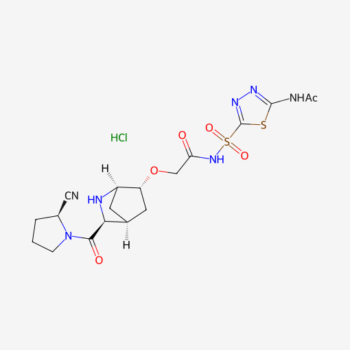 CC(=O)Nc1nnc(S(=O)(=O)NC(=O)CO[C@@H]2C[C@@H]3C[C@H]2N[C@@H]3C(=O)N2CCC[C@H]2C#N)s1.Cl